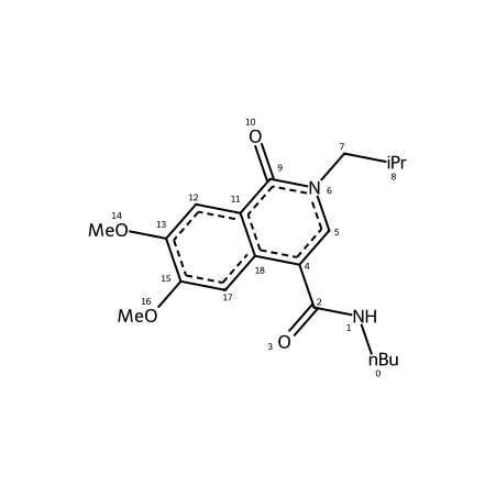 CCCCNC(=O)c1cn(CC(C)C)c(=O)c2cc(OC)c(OC)cc12